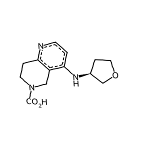 O=C(O)N1CCc2nccc(N[C@H]3CCOC3)c2C1